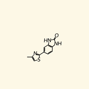 Cc1csc(-c2ccc3[nH]c(=O)[nH]c3c2)n1